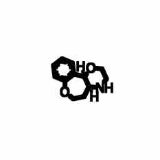 c1ccc2c(c1)OCC[C@@H]1NCCO[C@H]21